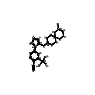 C#Cc1ccc(-n2nnnc2CN2CCC3(CCCN(C)C3)CC2)cc1C(F)(F)F